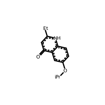 CCc1cc(=O)c2cc(OC(C)C)ccc2[nH]1